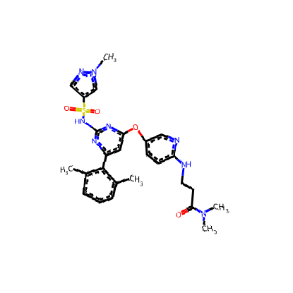 Cc1cccc(C)c1-c1cc(Oc2ccc(NCCC(=O)N(C)C)nc2)nc(NS(=O)(=O)c2cnn(C)c2)n1